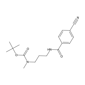 CN(CCCNC(=O)c1ccc(C#N)cc1)C(=O)OC(C)(C)C